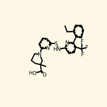 CCc1ccccc1-c1nc(NSc2cccc(N3CCCC(C)(C(=O)O)C3)n2)ccc1C(F)(F)F